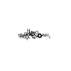 COc1cc(N)ccc1N1CC[C@@H]([C@](NC(=O)OC(C)(C)C)(C(=O)O)C(C)C)C1